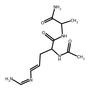 CC(=O)NC(C/C=C/N=C\N)C(=O)NC(C)C(N)=O